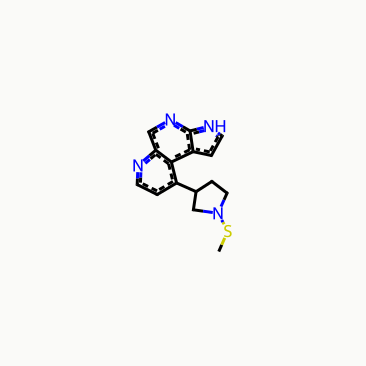 CSN1CCC(c2ccnc3cnc4[nH]ccc4c23)C1